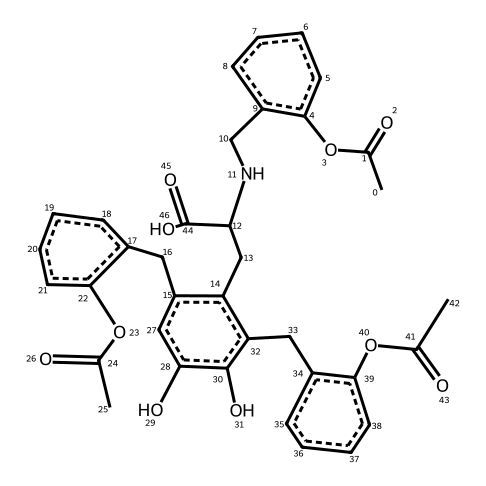 CC(=O)Oc1ccccc1CNC(Cc1c(Cc2ccccc2OC(C)=O)cc(O)c(O)c1Cc1ccccc1OC(C)=O)C(=O)O